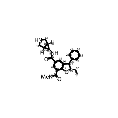 CNC(=O)c1cc(C(=O)N[C@H]2[C@@H]3CNC[C@@H]32)cc2c1O[C@H](CF)C2c1ccccc1